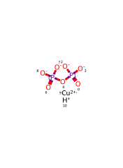 O=P([O-])([O-])OP(=O)([O-])[O-].[Cu+2].[H+]